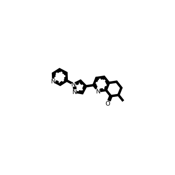 CC1CCc2ccc(-c3cnn(-c4cccnc4)c3)nc2C1=O